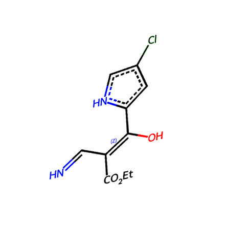 CCOC(=O)/C(C=N)=C(\O)c1cc(Cl)c[nH]1